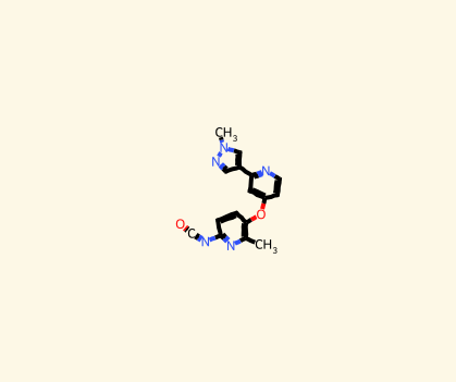 Cc1nc(N=C=O)ccc1Oc1ccnc(-c2cnn(C)c2)c1